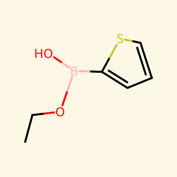 CCOB(O)c1cccs1